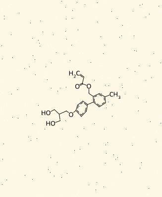 C=CC(=O)OCc1cc(C)ccc1-c1ccc(OCC(CO)CO)cc1